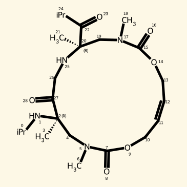 CC(C)N[C@]1(C)CN(C)C(=O)OCC=CCOC(=O)N(C)C[C@](C)(C(=O)C(C)C)NCC1=O